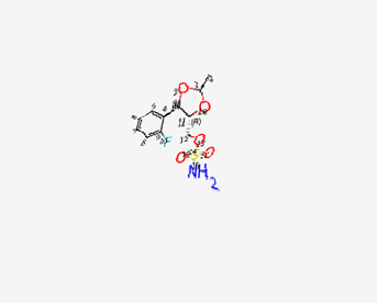 CC1O[C@H](c2ccccc2F)[C@@H](COS(N)(=O)=O)O1